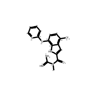 CN(C(=N)N)C(=O)c1cc2c(C(F)(F)F)ccc(Oc3ccccn3)c2[nH]1